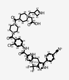 N#Cc1ccc(-c2[nH]nc(C(F)(F)F)c2Cc2cnc(C(=O)Nc3ccc(C(=O)N4CCN(C(=O)C5CC[N+](CC(=O)O)(CC6CNC6)CC5)CC4)c(Cl)c3)[nH]2)nc1